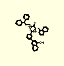 O=C(N[C@@H](Cc1cccc2ccccc12)C(=O)NCCC(c1ccccc1)c1ccccc1)c1cccc(-c2cc(O)c3ncccc3c2)c1